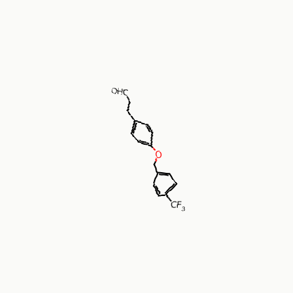 O=CCCc1ccc(OCc2ccc(C(F)(F)F)cc2)cc1